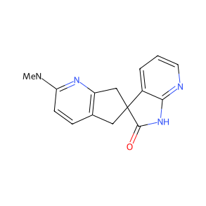 CNc1ccc2c(n1)CC1(C2)C(=O)Nc2ncccc21